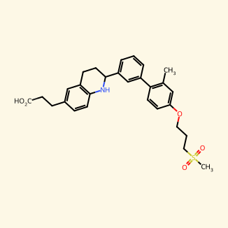 Cc1cc(OCCCS(C)(=O)=O)ccc1-c1cccc(C2CCc3cc(CCC(=O)O)ccc3N2)c1